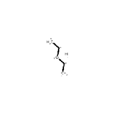 CCOCC.I